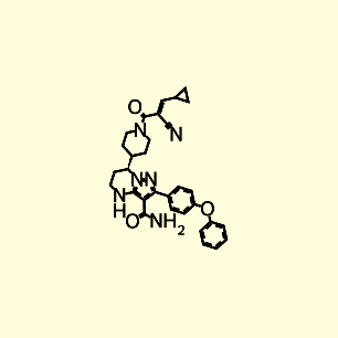 N#CC(=CC1CC1)C(=O)N1CCC([C@@H]2CCNc3c(C(N)=O)c(-c4ccc(Oc5ccccc5)cc4)nn32)CC1